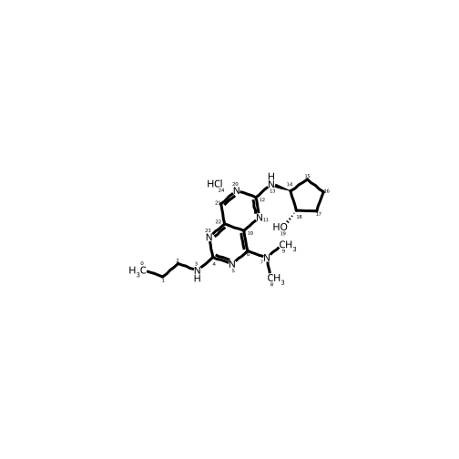 CCCNc1nc(N(C)C)c2nc(N[C@H]3CCC[C@@H]3O)ncc2n1.Cl